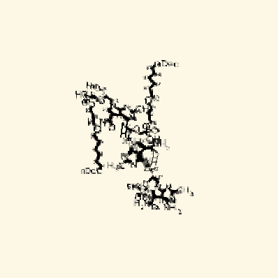 CCCCCCCCCCCCCCCCOCCCOP(=O)(O)CO[C@H](CO)Cn1cc(C(N)=O)c2c(N[C@H](Cn3cc(C(N)=O)c4c(NOC[C@H](Cn5cc(C(N)=O)c6c(N)nc(C)nc65)OCP(=O)(OCC)OCC)nc(C)nc43)OCP(=O)(O)OCCCOCCCCCCCCCCCCCCCC)nc(C)nc21